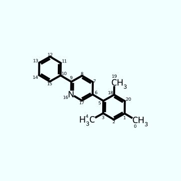 Cc1cc(C)c(-c2ccc(-c3ccccc3)nc2)c(C)c1